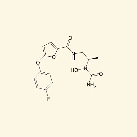 C[C@H](CNC(=O)c1ccc(Oc2ccc(F)cc2)o1)N(O)C(N)=O